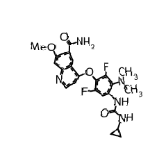 COc1cc2nccc(Oc3c(F)cc(NC(=O)NC4CC4)c(N(C)C)c3F)c2cc1C(N)=O